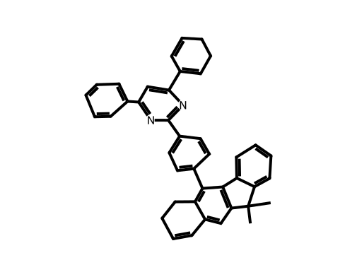 CC1(C)c2ccccc2-c2c1cc1c(c2-c2ccc(-c3nc(C4=CCCC=C4)cc(-c4ccccc4)n3)cc2)CCC=C1